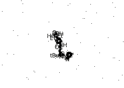 CCC(CC)(c1ccc(NC(=O)CCc2sc(-n3cnc4ccccc43)nc2C(C)(C)C)cc1)P(=O)(O)O